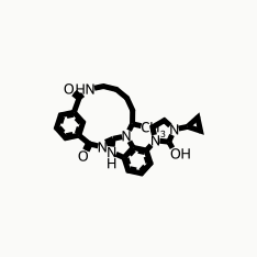 CC1CCCCNC(=O)c2cccc(c2)C(=O)/N=C2\Nc3cccc(N4CCN(C5CC5)C4O)c3N21